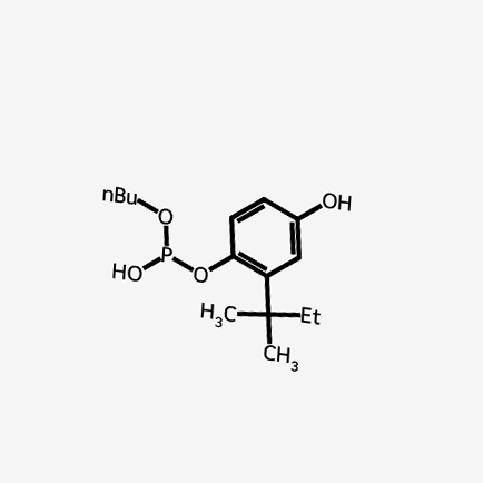 CCCCOP(O)Oc1ccc(O)cc1C(C)(C)CC